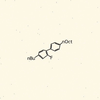 CCCCCCCCc1ccc(-c2ccc(CCCC)cc2F)cc1